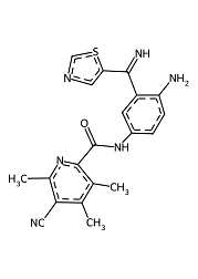 Cc1nc(C(=O)Nc2ccc(N)c(C(=N)c3cncs3)c2)c(C)c(C)c1C#N